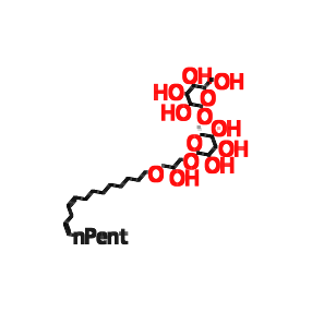 CCCCC/C=C\C/C=C\CCCCCCCCOCC(O)CO[C@@H]1O[C@H](COC2O[C@H](CO)[C@H](O)[C@H](O)[C@H]2O)[C@H](O)[C@H](O)[C@H]1O